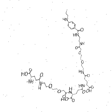 CCCNc1ccc(C(=O)NCCNC(=O)COCCOCCNC(=O)CCC(NC(=O)CCC(NC(=O)COCCOCCNC(=O)CCC(NC)C(=O)O)C(=O)O)C(=O)O)cc1